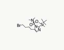 CN(C)S(=O)(=O)n1c(CCCCBr)cnc1[Si](C)(C)C(C)(C)C